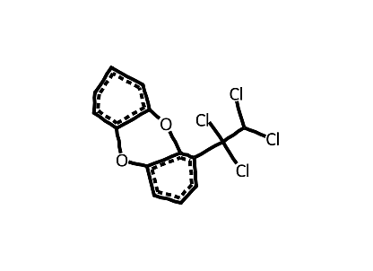 ClC(Cl)C(Cl)(Cl)c1cccc2c1Oc1ccccc1O2